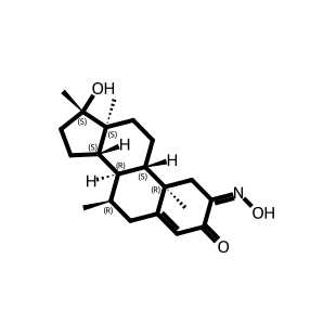 C[C@@H]1CC2=CC(=O)C(=NO)C[C@]2(C)[C@H]2CC[C@@]3(C)[C@@H](CC[C@]3(C)O)[C@H]12